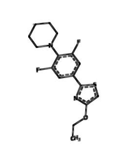 CCOc1csc(-c2cc(F)c(N3CC[CH]CC3)c(F)c2)n1